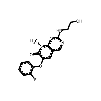 Cn1c(=O)c(Oc2ccccc2F)cc2cnc(NCCO)nc21